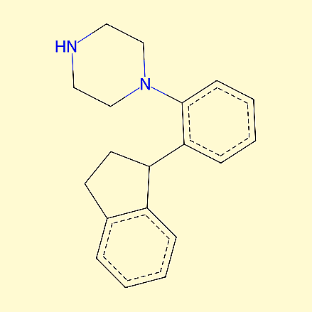 c1ccc2c(c1)CCC2c1ccccc1N1CCNCC1